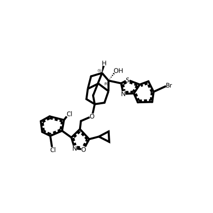 O[C@]1(c2nc3ccc(Br)cc3s2)C2CC3C[C@H]1CC(OCc1c(-c4c(Cl)cccc4Cl)noc1C1CC1)(C3)C2